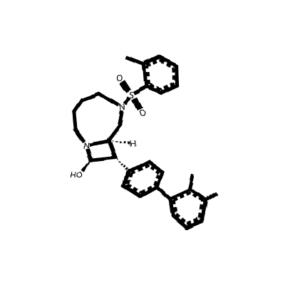 Cc1ccccc1S(=O)(=O)N1CCCCN2[C@H](O)[C@@H](c3ccc(-c4cccc(C)c4C)cc3)[C@@H]2C1